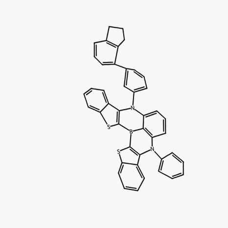 c1ccc(N2c3cccc4c3B(c3sc5ccccc5c32)c2sc3ccccc3c2N4c2cccc(-c3cccc4c3CCC4)c2)cc1